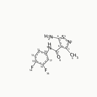 Cc1nsc(N)c1C(=O)Nc1ccc(F)c(F)c1